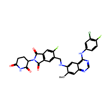 COc1cc2ncnc(Nc3ccc(F)c(Cl)c3)c2cc1NCc1cc2c(cc1F)C(=O)N(C1CCC(=O)NC1=O)C2=O